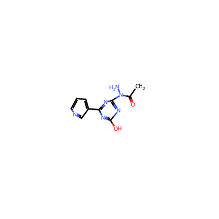 CC(=O)N(N)c1nc(O)nc(-c2cccnc2)n1